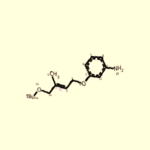 C/C(=C\COc1cccc(N)c1)COC(C)(C)C